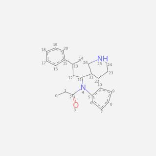 CCC(=O)N(c1ccccc1)C(CC(C)c1ccccc1)C1CCCNC1